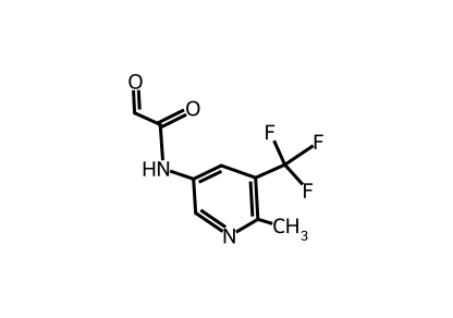 Cc1ncc(NC(=O)C=O)cc1C(F)(F)F